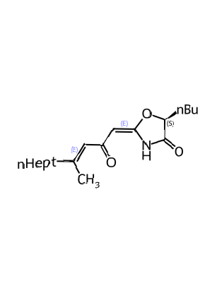 CCCCCCC/C(C)=C/C(=O)/C=C1\NC(=O)[C@H](CCCC)O1